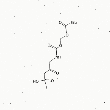 CC(C)(C)C(=O)OCOC(=O)NCC(=O)CP(C)(=O)O